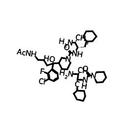 CC(=O)NCCC[C@](O)(c1cccc(Cl)c1F)C1CCCN(C(=O)N[C@@H](CC2CCCCC2)[C@@H](C)N)C1.C[C@@H](N)[C@H](CC1CCCCC1)NC(=O)N1CCCCC1